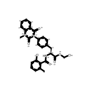 Cc1cccc(Cl)c1C(=O)N[C@@H](Cc1ccc(-n2c(=O)c3ccccc3n(C)c2=O)cc1)C(=O)OCCl